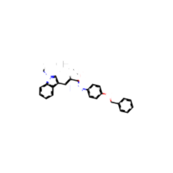 N#C/C(=C\c1cn(CC(=O)O)c2ccccc12)C(=O)Nc1ccc(OCc2ccccc2)cc1